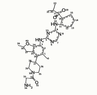 Cc1cc(Nc2ncnc(Nc3ccccc3S(=O)(=O)C(C)C)n2)c2c(c1C1CCN(C(=O)CN)CC1)CC(C)O2